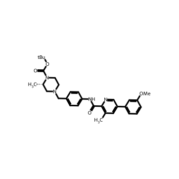 COc1cccc(-c2cnc(C(=O)Nc3ccc(CN4CCN(C(=O)OC(C)(C)C)[C@@H](C)C4)cc3)c(C)c2)c1